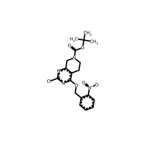 CC(C)(C)OC(=O)N1CCc2c(nc(Cl)nc2OCc2ccccc2[N+](=O)[O-])C1